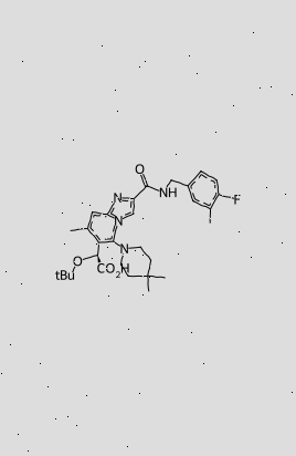 Cc1cc(CNC(=O)c2cn3c(N4CCC(C)(C)CC4)c([C@H](OC(C)(C)C)C(=O)O)c(C)cc3n2)ccc1F